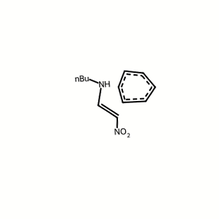 CCCCNC=C[N+](=O)[O-].c1ccccc1